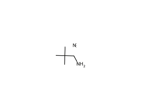 CC(C)(C)CN.[N]